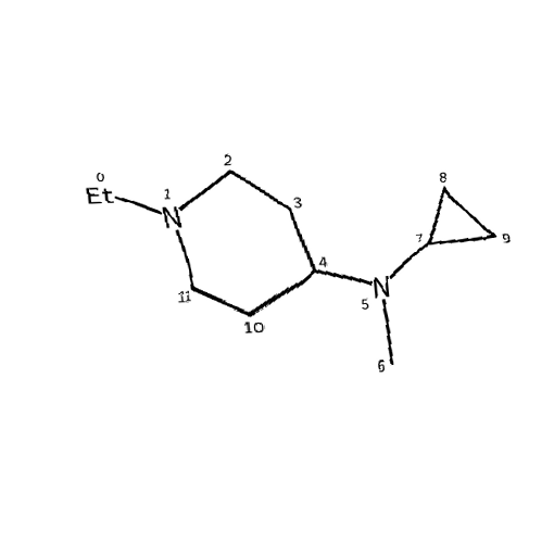 CCN1CCC(N(C)C2CC2)CC1